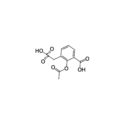 CC(=O)Oc1c(CS(=O)(=O)O)cccc1C(=O)O